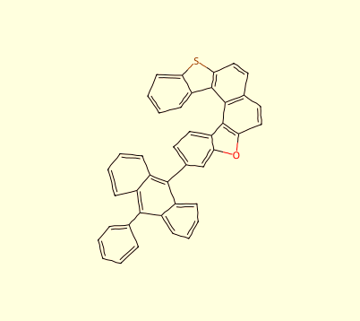 c1ccc(-c2c3ccccc3c(-c3ccc4c(c3)oc3ccc5ccc6sc7ccccc7c6c5c34)c3ccccc23)cc1